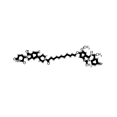 COc1cc2c(N[C@H](C)c3cccc(Br)c3)nc(C)nc2cc1OCCCCCCCCCCC(=O)N1CCC(c2cc3c(cc2F)C(=O)N(C2CCC(=O)NC2=O)C3)CC1